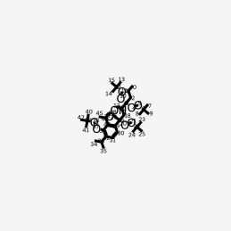 CCCC(OOC(C)(C)C)(OOC(C)(C)C)C(C)CC(OOC(C)(C)C)(C(=O)O)c1ccc(C(C)C)c(OOC(C)(C)C)c1C(C)C